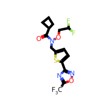 O=C(C1CCC1)N(Cc1ccc(-c2noc(C(F)(F)F)n2)s1)OCC(F)F